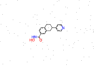 O=C(NO)c1ccc2c(c1)CC(c1ccncc1)CC2